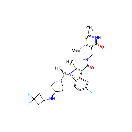 CSc1cc(C)[nH]c(=O)c1CNC(=O)c1c(C)n([C@H](C)[C@H]2CC[C@H](NC3CC(F)(F)C3)CC2)c2ccc(F)cc12